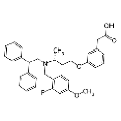 COc1ccc(CN(CC(c2ccccc2)c2ccccc2)[C@H](C)CCOc2cccc(CC(=O)O)c2)c(F)c1